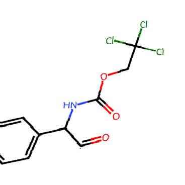 O=[C]C(NC(=O)OCC(Cl)(Cl)Cl)c1ccccc1